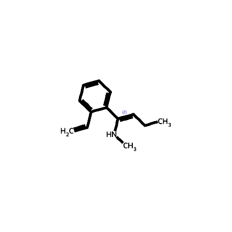 C=Cc1ccccc1/C(=C/CC)NC